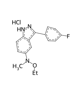 CCON(C)c1ccc2[nH]nc(-c3ccc(F)cc3)c2c1.Cl